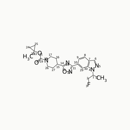 CC(CF)n1ncc2ccc(-c3noc(C4CCN(C(=O)OC5(C)CC5)CC4)n3)cc21